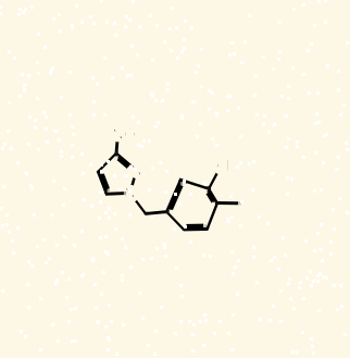 O=[N+]([O-])c1ccn(Cc2ccc(Cl)c(Cl)c2)n1